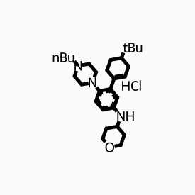 CCCCN1CCN(c2ccc(NC3CCOCC3)cc2C2=CCC(C(C)(C)C)CC2)CC1.Cl